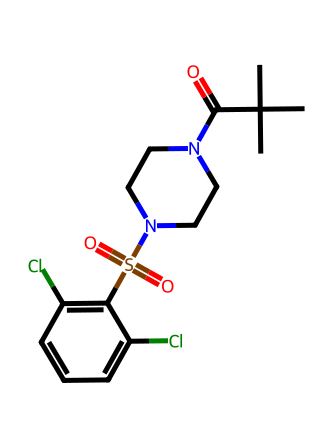 CC(C)(C)C(=O)N1CCN(S(=O)(=O)c2c(Cl)cccc2Cl)CC1